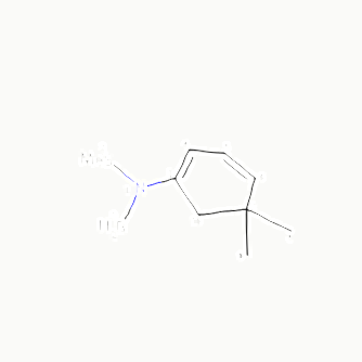 BN(SC)C1=CC=CC(C)(C)C1